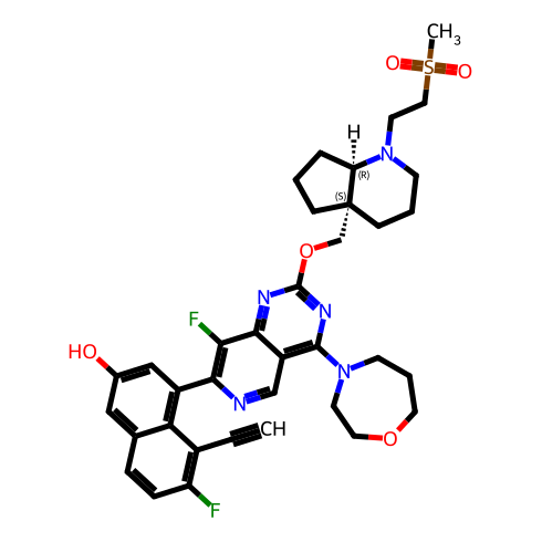 C#Cc1c(F)ccc2cc(O)cc(-c3ncc4c(N5CCCOCC5)nc(OC[C@]56CCC[C@H]5N(CCS(C)(=O)=O)CCC6)nc4c3F)c12